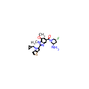 COc1cc(C(=O)N2C[C@H](N)C[C@@H](F)C2)cc2nc(-c3cc4sccc4n3CC3CC3)n(C)c12